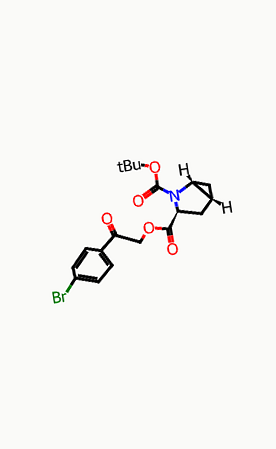 CC(C)(C)OC(=O)N1[C@@H]2C[C@@H]2C[C@H]1C(=O)OCC(=O)c1ccc(Br)cc1